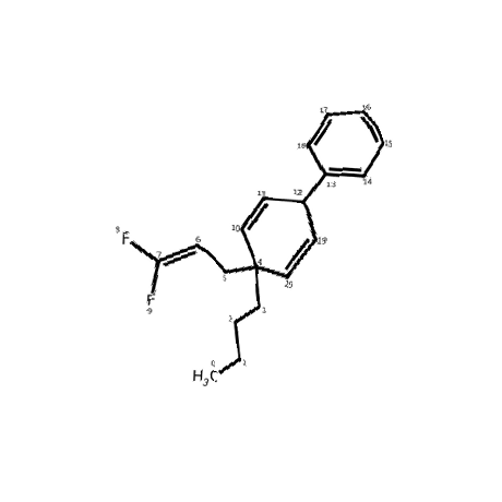 CCCCC1(CC=C(F)F)C=CC(c2ccccc2)C=C1